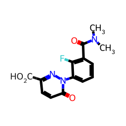 CN(C)C(=O)c1cccc(-n2nc(C(=O)O)ccc2=O)c1F